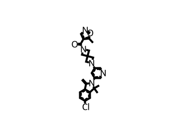 C=C1c2ccc(Cl)cc2C(C)(C)N1c1cncc(N2CC3(CN(C(=O)c4cnoc4C)C3)C2)c1